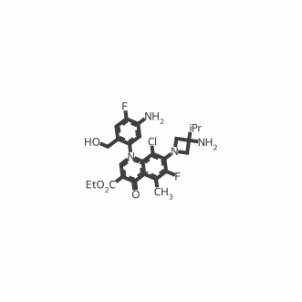 CCOC(=O)c1cn(-c2cc(N)c(F)cc2CO)c2c(Cl)c(N3CC(N)(C(C)C)C3)c(F)c(C)c2c1=O